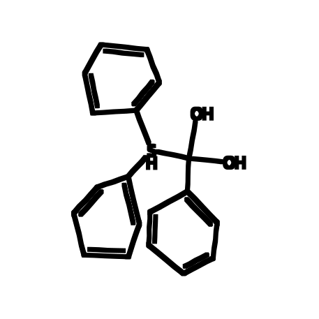 OC(O)(c1ccccc1)[SH](c1ccccc1)c1ccccc1